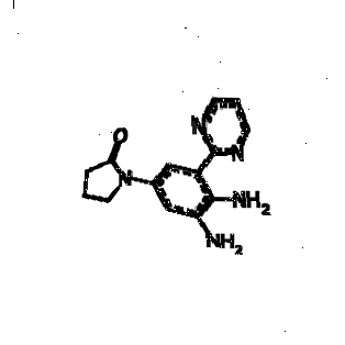 Nc1cc(N2CCCC2=O)cc(-c2ncccn2)c1N